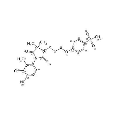 Cc1c(N2C(=O)C(C)(C)N(CCCOc3ccc(S(C)(=O)=O)cc3)C2=S)ccc(C#N)c1Cl